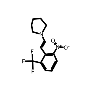 O=[N+]([O-])c1cccc(C(F)(F)F)c1C=CN1CCCCC1